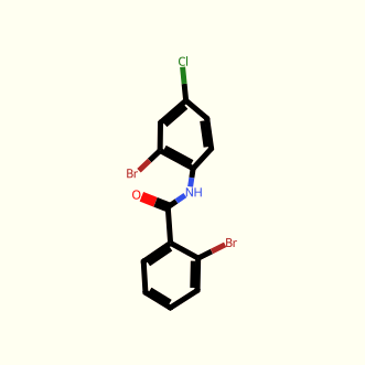 O=C(Nc1ccc(Cl)cc1Br)c1ccccc1Br